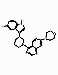 Fc1ccc2[nH]cc(C3CCCN(c4ncnc5cc(N6CCOCC6)ccc45)C3)c2c1